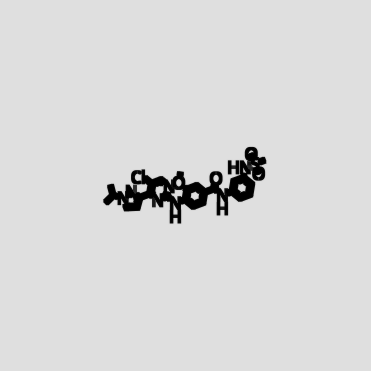 COc1cc(C(=O)Nc2cccc(NS(C)(=O)=O)c2)ccc1Nc1ncc(Cl)c(-c2ccn(C(C)C)n2)n1